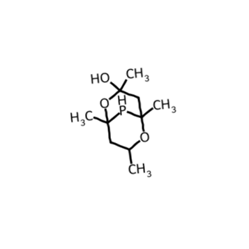 CC1CC2(C)OC(C)(O)CC(C)(O1)P2